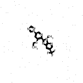 CCSc1cc(-n2cncn2)cnc1-c1nc2cc(C(F)(F)F)cnc2n1C